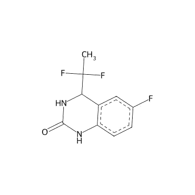 CC(F)(F)C1NC(=O)Nc2ccc(F)cc21